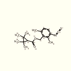 Cc1ccc(N=C=S)c(C)c1COC(=O)C1C(C)(C)C1(C)C